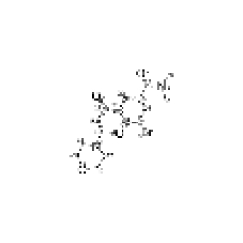 CN(C)C(=O)c1cc(Br)c2oc(N3CCOCC3)cc(=O)c2c1